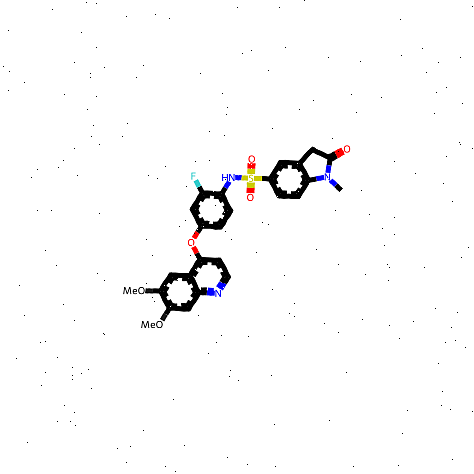 COc1cc2nccc(Oc3ccc(NS(=O)(=O)c4ccc5c(c4)CC(=O)N5C)c(F)c3)c2cc1OC